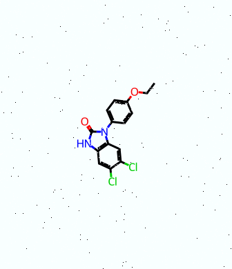 CCOc1ccc(-n2c(=O)[nH]c3cc(Cl)c(Cl)cc32)cc1